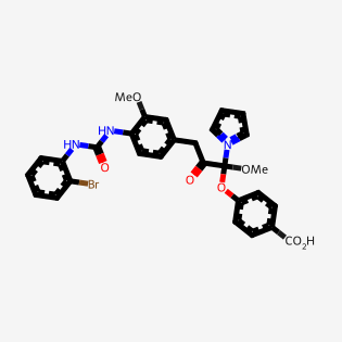 COc1cc(CC(=O)C(OC)(Oc2ccc(C(=O)O)cc2)n2cccc2)ccc1NC(=O)Nc1ccccc1Br